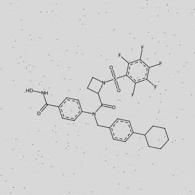 O=C(NO)c1ccc(N(Cc2ccc(C3CCCCC3)cc2)C(=O)C2CCN2S(=O)(=O)c2c(F)c(F)c(F)c(F)c2F)cc1